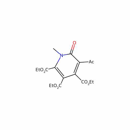 CCOC(=O)c1c(C(=O)OCC)c(C(=O)OCC)n(C)c(=O)c1C(C)=O